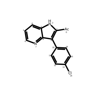 CC(=O)c1[nH]c2cccnc2c1-c1ccc(Cl)cc1